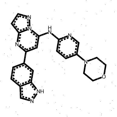 c1cc2nc(-c3ccc4cn[nH]c4c3)cc(Nc3ccc(N4CCOCC4)cn3)n2n1